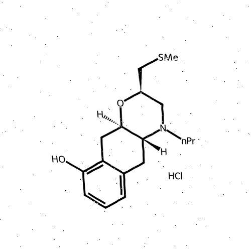 CCCN1C[C@H](CSC)O[C@@H]2Cc3c(O)cccc3C[C@H]21.Cl